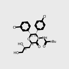 CCCCC(=O)NN1C(=O)[C@@H](C[C@@H](O)CO)O[C@H](c2cccc(Cl)c2)[C@@H]1c1ccc(Cl)cc1